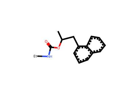 [CH2]C(Cc1cccc2ccccc12)OC(=O)NCC